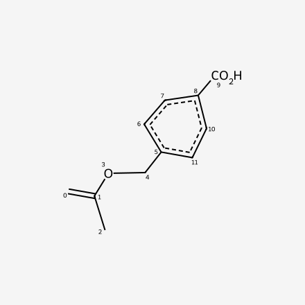 C=C(C)OCc1ccc(C(=O)O)cc1